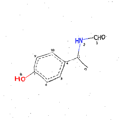 CC(N[C]=O)c1ccc(O)cc1